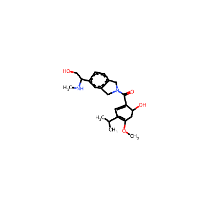 CNC(CO)c1ccc2c(c1)CN(C(=O)C1=CC(C(C)C)=C(OC)CC1O)C2